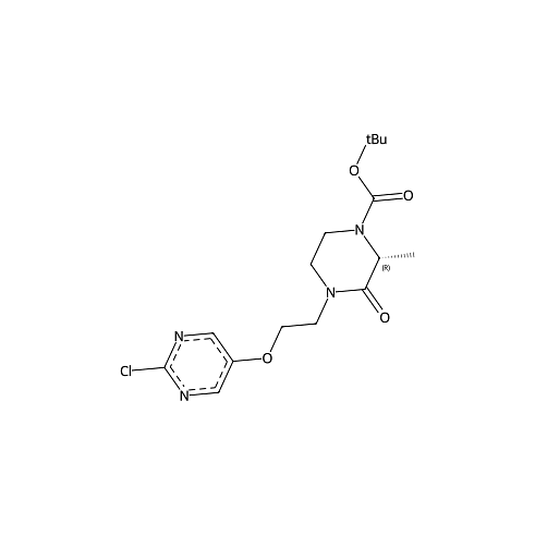 C[C@@H]1C(=O)N(CCOc2cnc(Cl)nc2)CCN1C(=O)OC(C)(C)C